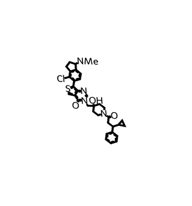 CNC1CCc2c1ccc(-c1scc3c(=O)n(CC4(O)CCN(C(=O)CC(c5ccccc5)C5CC5)CC4)cnc13)c2Cl